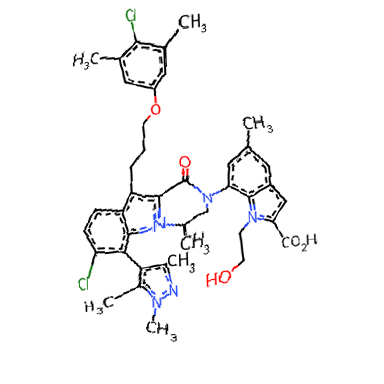 Cc1cc(N2CC(C)n3c(c(CCCOc4cc(C)c(Cl)c(C)c4)c4ccc(Cl)c(-c5c(C)nn(C)c5C)c43)C2=O)c2c(c1)cc(C(=O)O)n2CCO